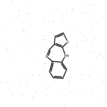 C1=Nc2ccccc2Nc2sccc21